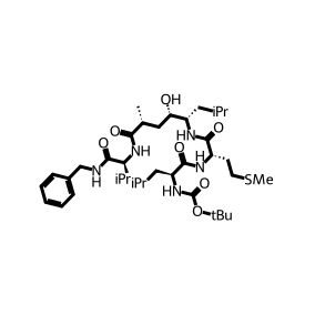 CSCC[C@H](NC(=O)[C@H](CC(C)C)NC(=O)OC(C)(C)C)C(=O)N[C@@H](CC(C)C)[C@@H](O)C[C@@H](C)C(=O)N[C@H](C(=O)NCc1ccccc1)C(C)C